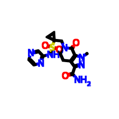 Cn1nc(C(N)=O)c2c1C(=O)N(CC1(S(=O)(=O)Nc3cnccn3)CC1)CC2